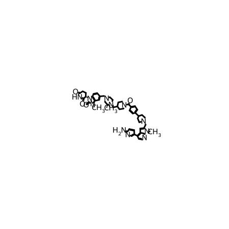 C[C@H]1CN(Cc2ccc3c(c2)n(C)c(=O)n3[C@@H]2CCC(=O)NC2=O)CCN1CC1CCN(C(=O)c2ccc(C3CCN(Cc4cc5c(-c6ccc(N)nc6)ccnc5n4C)CC3)cc2)CC1